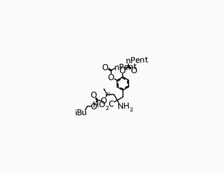 CCCCCC(=O)Oc1ccc(CC(N)(C[C@H](C)OC(=O)OCC(C)CC)C(=O)O)cc1OC(=O)CCCCC